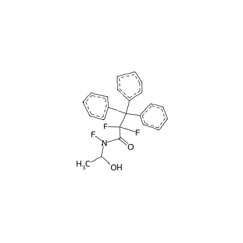 CC(O)N(F)C(=O)C(F)(F)C(c1ccccc1)(c1ccccc1)c1ccccc1